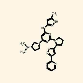 Cc1cc(Nc2cc(N3CC[C@@H](N(C)C)C3)nc(N3CCCC3c3cc(-c4ccccn4)no3)n2)n[nH]1